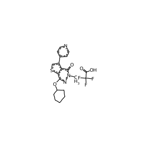 Cn1nc(OC2CCCCC2)c2scc(-c3ccncc3)c2c1=O.O=C(O)C(F)(F)F